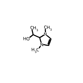 CC(O)C1N(C)C=CN1C